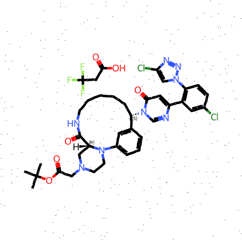 CC(C)(C)OC(=O)CN1CCN2c3cccc(c3)[C@@H](n3cnc(-c4cc(Cl)ccc4-n4cc(Cl)nn4)cc3=O)CCCCCNC(=O)[C@H]2C1.O=C(O)CC(F)(F)F